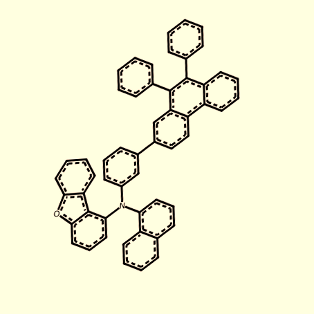 c1ccc(-c2c(-c3ccccc3)c3cc(-c4cccc(N(c5cccc6ccccc56)c5cccc6oc7ccccc7c56)c4)ccc3c3ccccc23)cc1